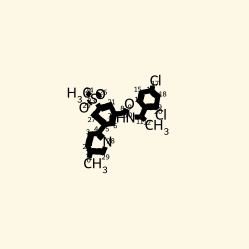 Cc1ccc(-c2cc(C(=O)NC(C)c3ccc(Cl)cc3Cl)cc(S(C)(=O)=O)c2)nc1